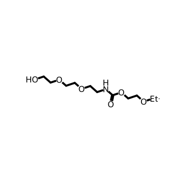 C[CH]OCCOC(=O)NCCOCCOCCO